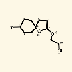 CC(C)C1CCC2(CCC(OCCO)O2)CC1